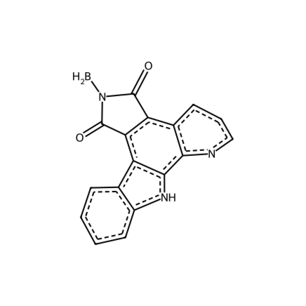 BN1C(=O)c2c(c3c4ccccc4[nH]c3c3ncccc23)C1=O